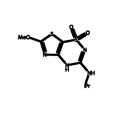 COc1nc2c(s1)S(=O)(=O)N=C(NC(C)C)N2